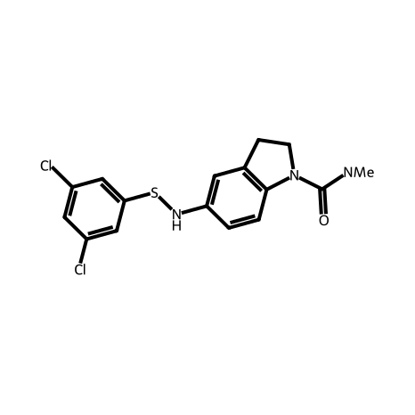 CNC(=O)N1CCc2cc(NSc3cc(Cl)cc(Cl)c3)ccc21